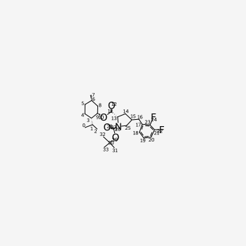 CC(C)[C@@H]1CC[C@@H](C)C[C@H]1OC(=O)[C@@H]1CC(Cc2cccc(F)c2F)CN1C(=O)OC(C)(C)C